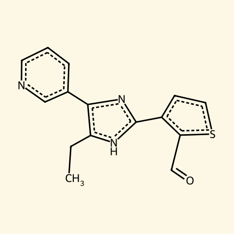 CCc1[nH]c(-c2ccsc2C=O)nc1-c1cccnc1